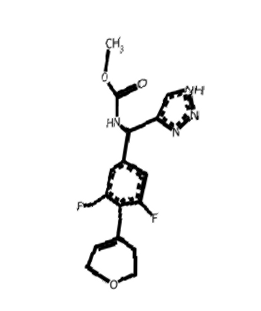 COC(=O)NC(c1cc(F)c(C2=CCOCC2)c(F)c1)c1c[nH]nn1